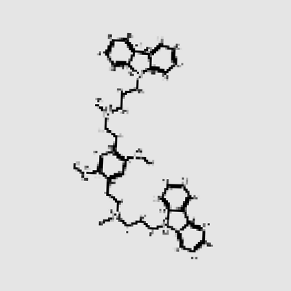 COc1cc(CCN(C)CCCn2c3ccccc3c3ccccc32)c(OC)cc1CCN(C)CCCn1c2ccccc2c2ccccc21